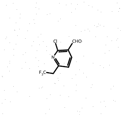 O=Cc1ccc(CC(F)(F)F)nc1Cl